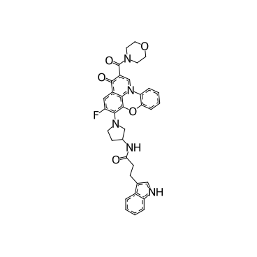 O=C(CCc1c[nH]c2ccccc12)NC1CCN(c2c(F)cc3c(=O)c(C(=O)N4CCOCC4)cn4c3c2Oc2ccccc2-4)C1